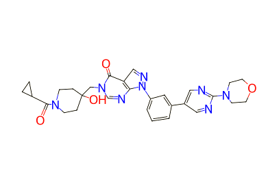 O=C(C1CC1)N1CCC(O)(Cn2cnc3c(cnn3-c3cccc(-c4cnc(N5CCOCC5)nc4)c3)c2=O)CC1